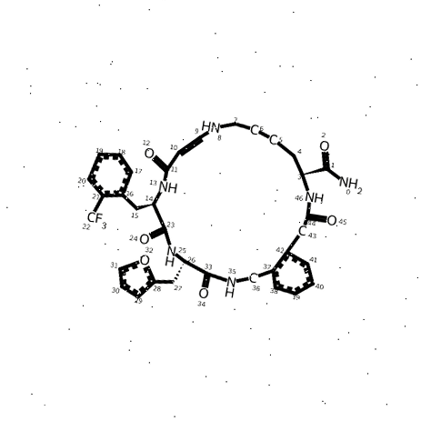 NC(=O)[C@@H]1CCCCN/C=C/C(=O)N[C@H](Cc2ccccc2C(F)(F)F)C(=O)N[C@@H](Cc2ccco2)C(=O)NCc2ccccc2CC(=O)N1